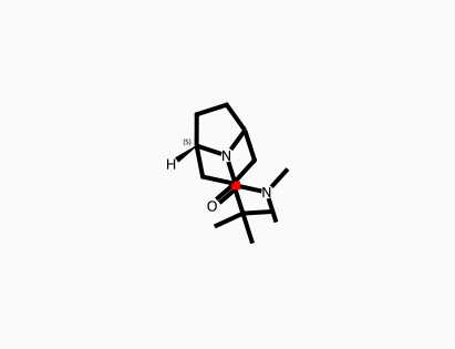 CN(C)C(=O)N1C2CC[C@H]1CC(C(C)(C)C)C2